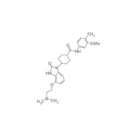 COc1cc(NC(=O)C2CCC(n3c(=O)[nH]c4c(OCCN(C)C)cccc43)CC2)ccc1C